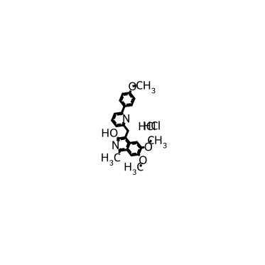 COc1ccc(-c2cccc(Cc3c(O)nc(C)c4cc(OC)c(OC)cc34)n2)cc1.Cl.Cl